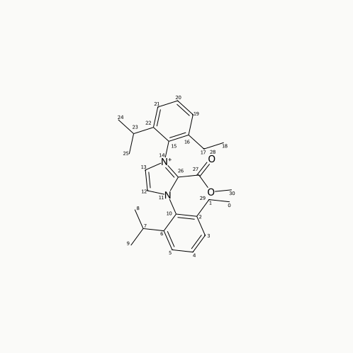 CCc1cccc(C(C)C)c1-n1cc[n+](-c2c(CC)cccc2C(C)C)c1C(=O)OC